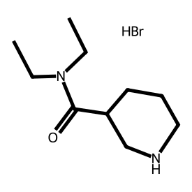 Br.CCN(CC)C(=O)C1CCCNC1